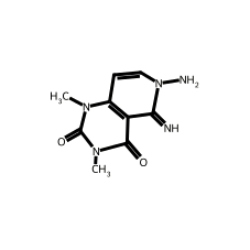 Cn1c(=O)c2c(=N)n(N)ccc2n(C)c1=O